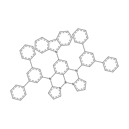 c1ccc(-c2cc(-c3ccccc3)cc(N3c4cc(-n5c6ccccc6c6ccccc65)cc5c4B(n4cccc43)n3cccc3N5c3cc(-c4ccccc4)cc(-c4ccccc4)c3)c2)cc1